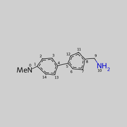 CNc1ccc(-c2ccc(CN)cc2)cc1